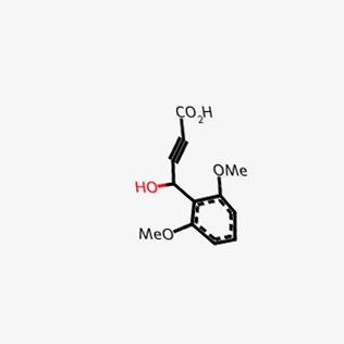 COc1cccc(OC)c1C(O)C#CC(=O)O